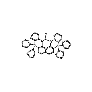 O=C1N2c3ccccc3S(c3ccccc3)(c3ccccc3)c3ccc4ccc5c(c4c32)N1c1ccccc1S5(c1ccccc1)c1ccccc1